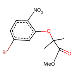 COC(=O)C(C)(C)Oc1cc(Br)ccc1[N+](=O)[O-]